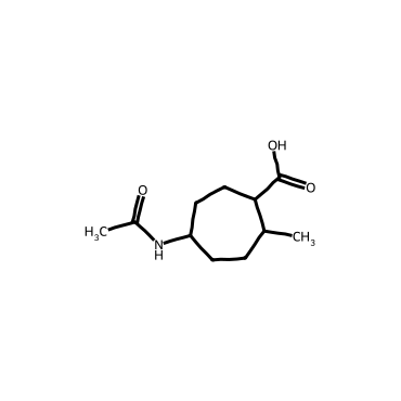 CC(=O)NC1CCC(C)C(C(=O)O)CC1